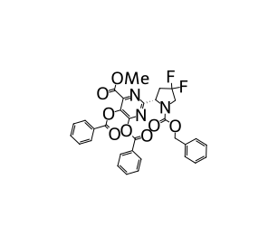 COC(=O)c1nc([C@@H]2CC(F)(F)CN2C(=O)OCc2ccccc2)nc(OC(=O)c2ccccc2)c1OC(=O)c1ccccc1